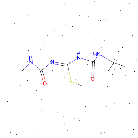 CNC(=O)N=C(NC(=O)NC(C)(C)C)SC